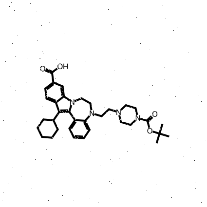 CC(C)(C)OC(=O)N1CCN(CCN2CCn3c(c(C4CCCCC4)c4ccc(C(=O)O)cc43)-c3ccccc32)CC1